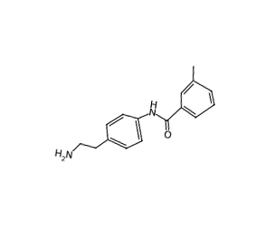 Cc1cccc(C(=O)Nc2ccc(CCN)cc2)c1